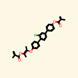 C=C(C)C(=O)O/C(C)=C(\C)Oc1ccc(-c2ccc(-c3ccc(OC(=O)C(=C)C)cc3)cc2F)cc1